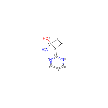 NC1(O)CCC1c1ncccn1